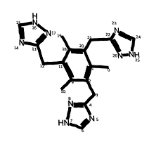 Cc1c(Cc2nc[nH]n2)c(C)c(Cc2nc[nH]n2)c(C)c1Cc1nc[nH]n1